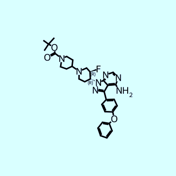 CC(C)(C)OC(=O)N1CCC(N2CC[C@@H](n3nc(-c4ccc(Oc5ccccc5)cc4)c4c(N)ncnc43)[C@H](F)C2)CC1